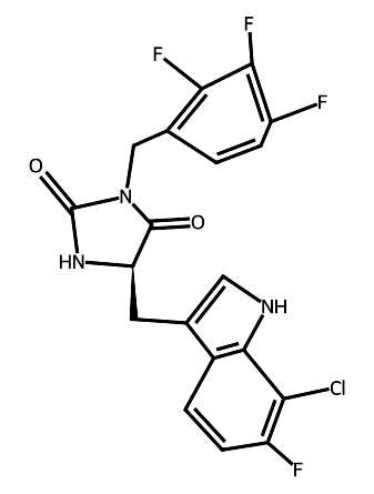 O=C1N[C@H](Cc2c[nH]c3c(Cl)c(F)ccc23)C(=O)N1Cc1ccc(F)c(F)c1F